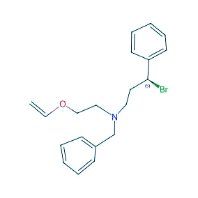 C=COCCN(CC[C@H](Br)c1ccccc1)Cc1ccccc1